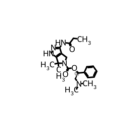 CCC(=O)Nc1n[nH]c2c1CN(C(=O)O[C@H](CN(C)C)c1ccccc1)C2(C)C